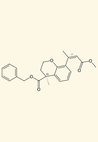 COC(=O)/C=C(/C)c1cccc2c1OCC[C@]2(C)C(=O)OCc1ccccc1